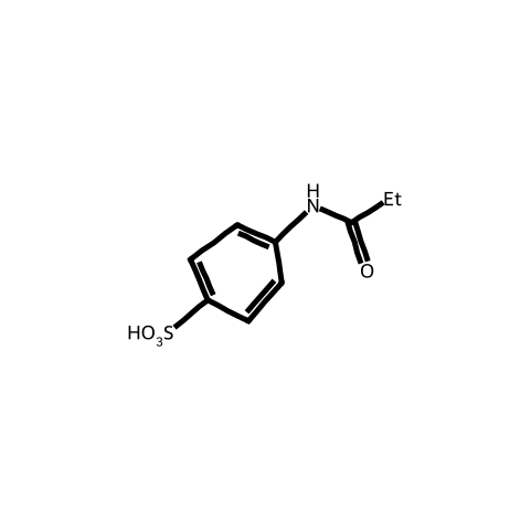 CCC(=O)Nc1ccc(S(=O)(=O)O)cc1